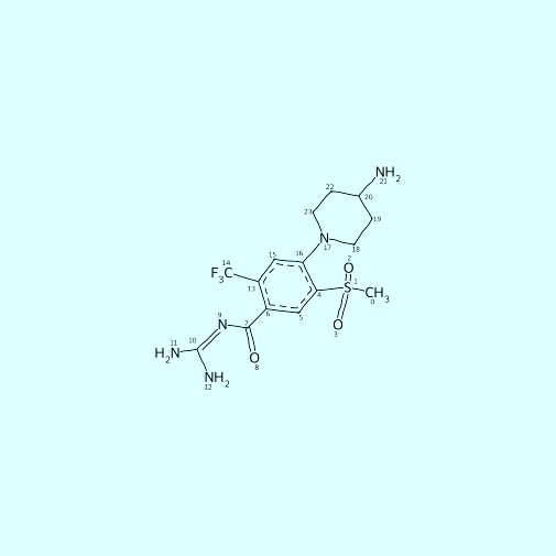 CS(=O)(=O)c1cc(C(=O)N=C(N)N)c(C(F)(F)F)cc1N1CCC(N)CC1